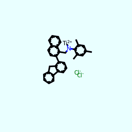 Cc1cc(C)c([N]([Ti+2])Cc2c(-c3cccc4c3Cc3ccccc3-4)ccc3ccccc23)c(C)c1.[Cl-].[Cl-]